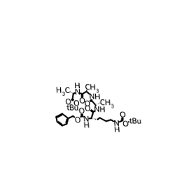 C[C@H](NC(=O)[C@H](C)NC(=O)[C@H](CCCCNC(=O)OC(C)(C)C)NC(=O)OCc1ccccc1)C(=O)N[C@@H](C)C(=O)OC(C)(C)C